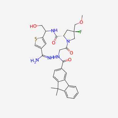 COC[C@@]1(F)C[C@@H](C(=O)NC(CO)c2cc(C(=N)N)cs2)N(C(=O)CNC(=O)c2ccc3c(c2)-c2ccccc2C3(C)C)C1